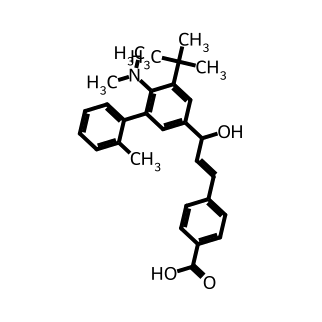 Cc1ccccc1-c1cc(C(O)C=Cc2ccc(C(=O)O)cc2)cc(C(C)(C)C)c1N(C)C